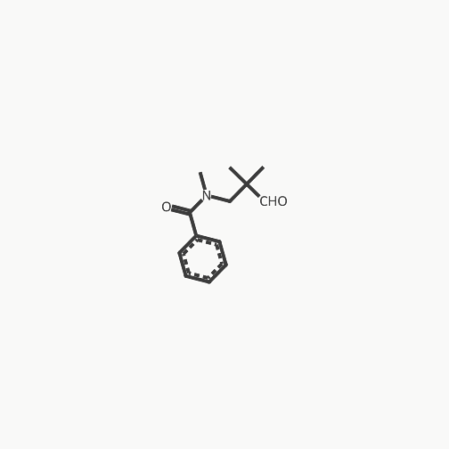 CN(CC(C)(C)C=O)C(=O)c1ccccc1